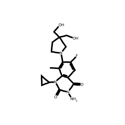 Cc1c(N2CCC(CO)(CO)C2)c(F)cc2c(=O)n(N)c(=O)n(C3CC3)c12